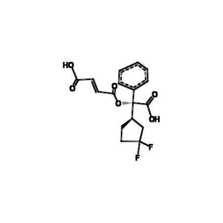 O=C(O)/C=C/C(=O)O[C@@](C(=O)O)(c1ccccc1)[C@@H]1CCC(F)(F)C1